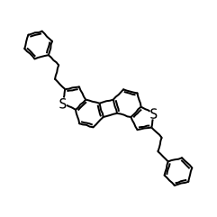 c1ccc(CCc2cc3c4c(ccc3s2)-c2c-4ccc3sc(CCc4ccccc4)cc23)cc1